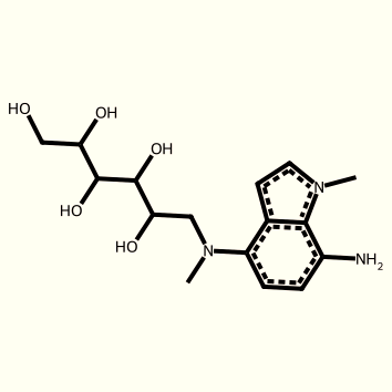 CN(CC(O)C(O)C(O)C(O)CO)c1ccc(N)c2c1ccn2C